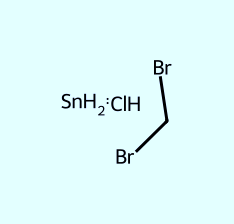 BrCBr.Cl.[SnH2]